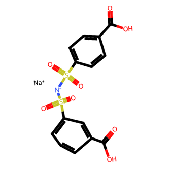 O=C(O)c1ccc(S(=O)(=O)[N-]S(=O)(=O)c2cccc(C(=O)O)c2)cc1.[Na+]